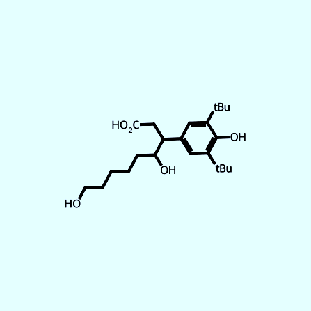 CC(C)(C)c1cc(C(CC(=O)O)C(O)CCCCCO)cc(C(C)(C)C)c1O